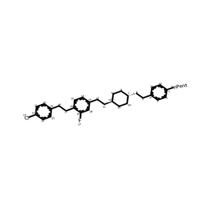 CCCCCc1ccc(CC[C@H]2CC[C@H](CCc3ccc(CCc4ccc(Cl)cc4)c(F)c3)CC2)cc1